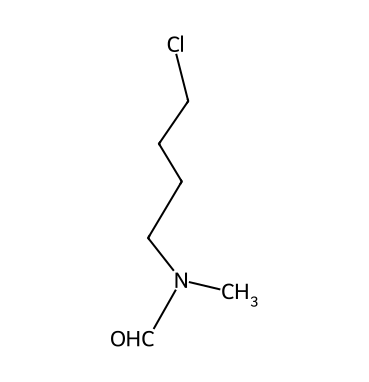 CN(C=O)CCCCCl